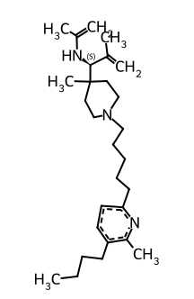 C=C(C)N[C@@H](C(=C)C)C1(C)CCN(CCCCCc2ccc(CCCC)c(C)n2)CC1